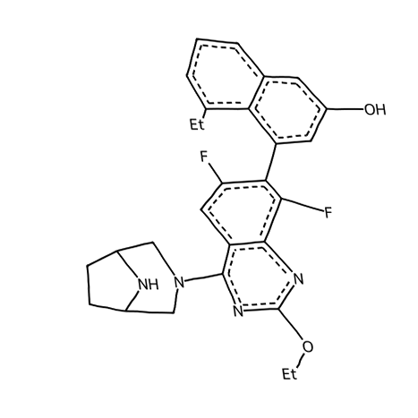 CCOc1nc(N2CC3CCC(C2)N3)c2cc(F)c(-c3cc(O)cc4cccc(CC)c34)c(F)c2n1